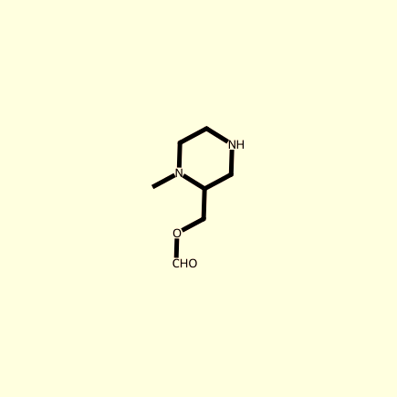 CN1CCNCC1COC=O